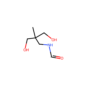 CC(CO)(CO)CN[C]=O